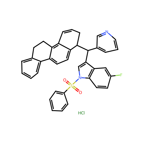 Cl.O=S(=O)(c1ccccc1)n1cc(C(c2cccnc2)C2CC=Cc3c2ccc2c3CCc3ccccc3-2)c2cc(F)ccc21